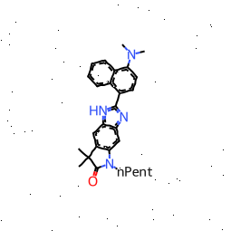 CCCCCN1C(=O)C(C)(C)c2cc3[nH]c(-c4ccc(N(C)C)c5ccccc45)nc3cc21